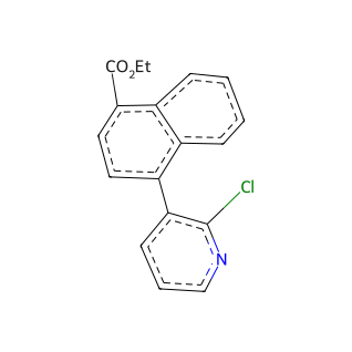 CCOC(=O)c1ccc(-c2cccnc2Cl)c2ccccc12